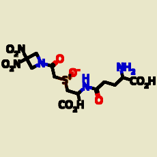 NC(CCC(=O)NC(C[S+]([O-])CC(=O)N1CC([N+](=O)[O-])([N+](=O)[O-])C1)C(=O)O)C(=O)O